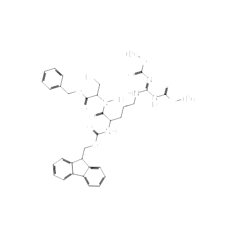 CC(C)CC(C(=O)OCc1ccccc1)N(C)C(=O)C(CCCN/C(=N\C(=O)OC(C)(C)C)NC(=O)OC(C)(C)C)NC(=O)OCC1c2ccccc2-c2ccccc21